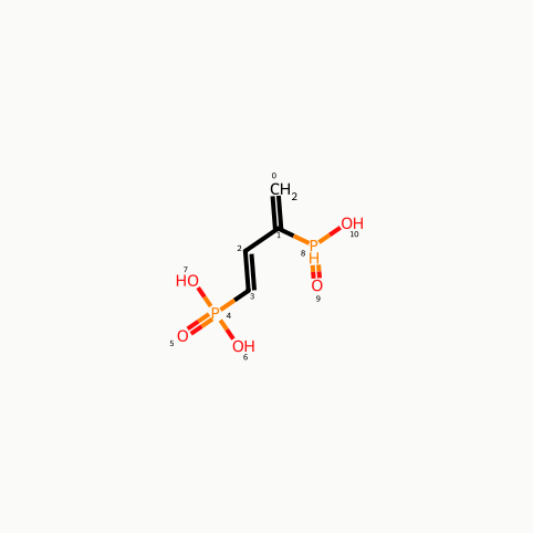 C=C(C=CP(=O)(O)O)[PH](=O)O